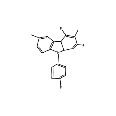 CC1=C(F)C2c3cc(C)ccc3N(c3ccc(F)cc3)C2C=C1F